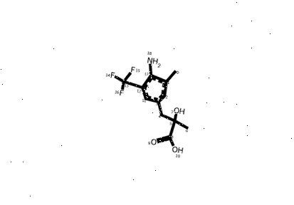 Cc1cc(CC(C)(O)C(=O)O)cc(C(F)(F)F)c1N